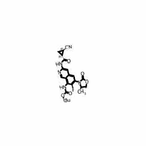 C[C@@H]1COC(=O)N1c1cc2cc(NC(=O)[C@@H]3C[C@H]3C#N)ncc2c(NC(=O)OC(C)(C)C)c1F